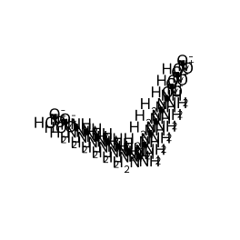 N=C(N)N.N=C(N)N.N=C(N)N.N=C(N)N.N=C(N)N.N=C(N)N.N=C(N)N.N=C(N)N.N=C(N)N.N=C(N)N.N=C(N)N.N=C(N)N.O=[N+]([O-])O.O=[N+]([O-])O.O=[N+]([O-])O.O=[N+]([O-])O.O=[N+]([O-])O